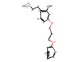 COc1cc(OCCCOc2ccccc2)ccc1CCC(=O)O